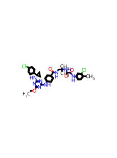 Cc1ccc(NC(=O)C(=O)NC(C)(C)CNC(=O)c2ccc(Nc3nc(NC4(c5ccc(Cl)cc5)CC4)nc(OCC(F)(F)F)n3)cc2)cc1Cl